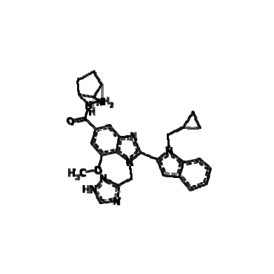 COc1cc(C(=O)N2CC3CCC2[C@@H]3N)cc2nc(-c3cc4ccccc4n3CC3CC3)n(Cc3nc[nH]n3)c12